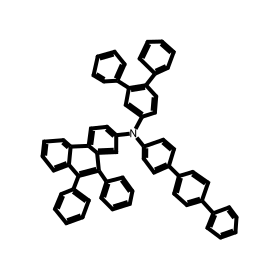 c1ccc(-c2ccc(-c3ccc(N(c4ccc(-c5ccccc5)c(-c5ccccc5)c4)c4ccc5c(c4)c(-c4ccccc4)c(-c4ccccc4)c4ccccc45)cc3)cc2)cc1